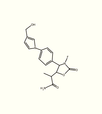 CC(C(N)=O)C1OC(=O)N(F)C1c1ccc(-n2ccc(CO)c2)cc1